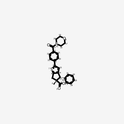 C[C@@]1(C(=O)O)Cc2sc(-c3ccc(C(=O)N4CCOCC4)cc3)cc2[C@@H]1c1ccccc1